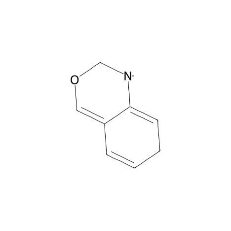 C1=CC2=COC[N]C2=CC1